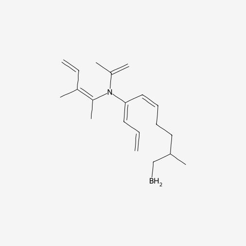 BCC(C)CC/C=C\C(=C/C=C)N(C(=C)C)/C(C)=C(/C)C=C